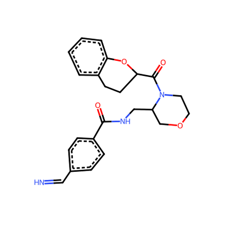 N=Cc1ccc(C(=O)NCC2COCCN2C(=O)C2CCc3ccccc3O2)cc1